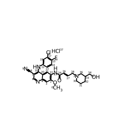 COc1cc2ncc(C#N)c(Nc3ccc(F)c(Cl)c3)c2cc1NC(=O)C=CCN1CCCC(CO)C1.Cl